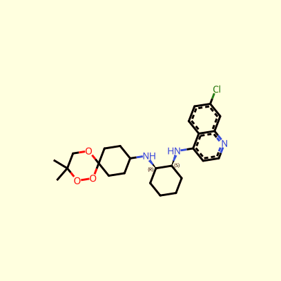 CC1(C)COC2(CCC(N[C@@H]3CCCC[C@@H]3Nc3ccnc4cc(Cl)ccc34)CC2)OO1